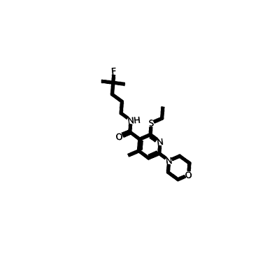 CCSc1nc(N2CCOCC2)cc(C)c1C(=O)NCCCC(C)(C)F